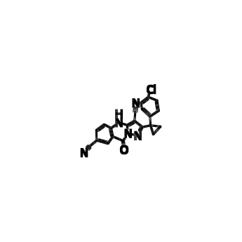 N#Cc1ccc2[nH]c3c(C#N)c(C4(c5ccc(Cl)cc5)CC4)nn3c(=O)c2c1